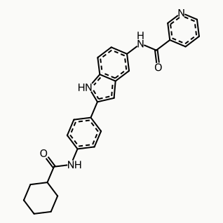 O=C(Nc1ccc2[nH]c(-c3ccc(NC(=O)C4CCCCC4)cc3)cc2c1)c1cccnc1